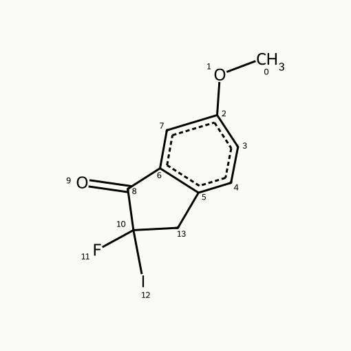 COc1ccc2c(c1)C(=O)C(F)(I)C2